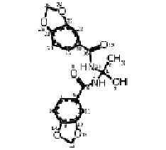 CC(O)(NC(=O)c1ccc2c(c1)OCO2)NC(=O)c1ccc2c(c1)OCO2